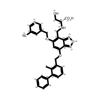 Cc1c(COc2cc(OCc3cncc(C#N)c3)c(CN[C@H](CO)C(=O)O)c3nonc23)cccc1-c1ccccc1